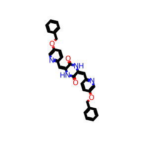 O=c1[nH]c(=Cc2ccc(OCc3ccccc3)cn2)c(=O)[nH]c1=Cc1ccc(OCc2ccccc2)cn1